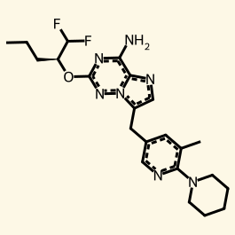 CCC[C@H](Oc1nc(N)c2ncc(Cc3cnc(N4CCCCC4)c(C)c3)n2n1)C(F)F